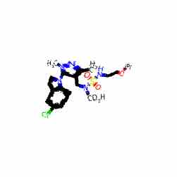 Cc1nn(C)c(-n2ccc3cc(Cl)ccc32)c1CN(C(=O)O)S(=O)(=O)NCCOC(C)C